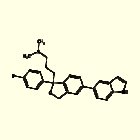 CN(C)CCCC1(c2ccc(F)cc2)OCc2cc(-c3ccc4[nH]ccc4c3)ccc21